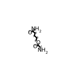 NCC(=O)OCCCCC(N)=O